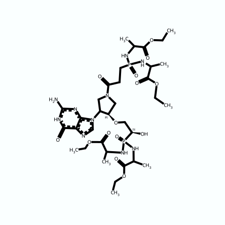 CCOC(=O)C(C)NP(=O)(CCC(=O)N1CC(n2cnc3c(=O)[nH]c(N)nc32)[C@H](OC[C@@H](O)P(=O)(NC(C)C(=O)OCC)NC(C)C(=O)OCC)C1)NC(C)C(=O)OCC